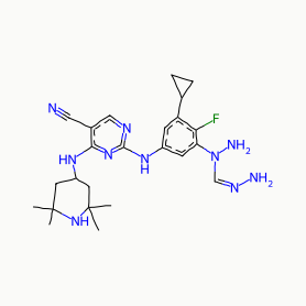 CC1(C)CC(Nc2nc(Nc3cc(C4CC4)c(F)c(N(N)/C=N\N)c3)ncc2C#N)CC(C)(C)N1